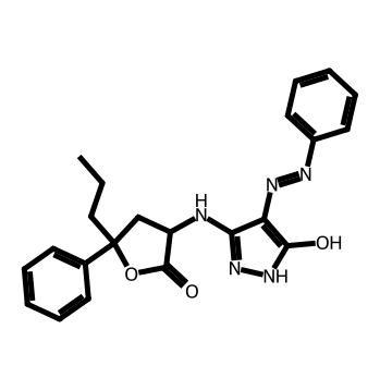 CCCC1(c2ccccc2)CC(Nc2n[nH]c(O)c2N=Nc2ccccc2)C(=O)O1